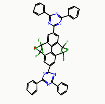 FC(F)(F)c1cc(-c2nc(-c3ccccc3)nc(-c3ccccc3)n2)cc(C(F)(F)F)c1-c1c(C(F)(F)F)cc(-c2nc(-c3ccccc3)nc(-c3ccccc3)n2)cc1C(F)(F)F